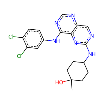 CC1(O)CCC(Nc2ncc3ncnc(Nc4ccc(Cl)c(Cl)c4)c3n2)CC1